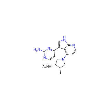 CC(=O)N[C@@H]1CN(c2ccnc3[nH]cc(-c4ccnc(N)n4)c23)C[C@H]1C